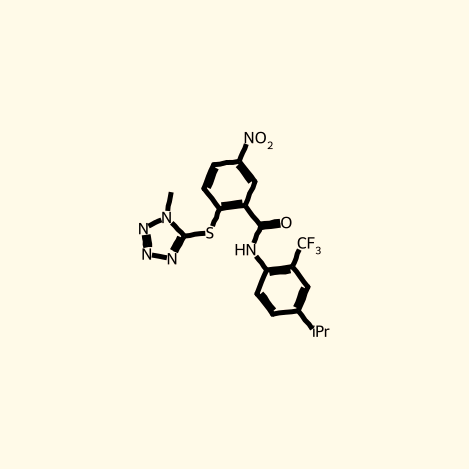 CC(C)c1ccc(NC(=O)c2cc([N+](=O)[O-])ccc2Sc2nnnn2C)c(C(F)(F)F)c1